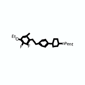 CCCCCC1CCC(c2ccc(CCc3c(C)cc(OCC)c(F)c3F)cc2)CC1